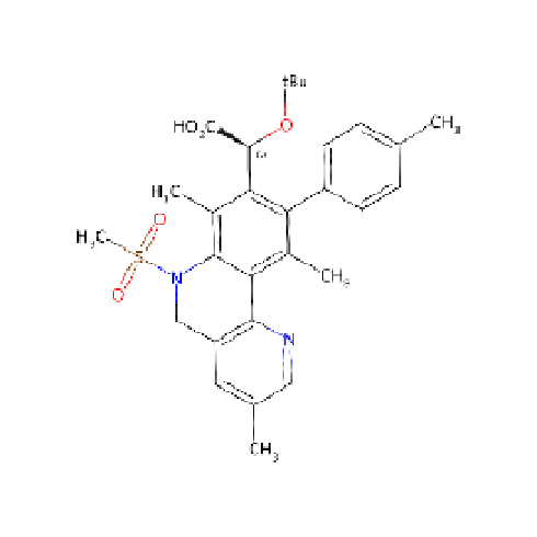 Cc1ccc(-c2c(C)c3c(c(C)c2[C@H](OC(C)(C)C)C(=O)O)N(S(C)(=O)=O)Cc2cc(C)cnc2-3)cc1